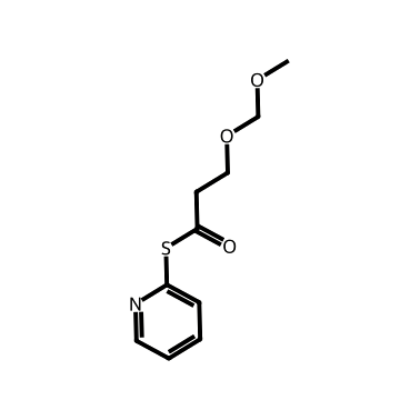 COCOCCC(=O)Sc1ccccn1